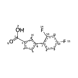 O=C(O)c1ccc(-c2ccc(F)cc2F)s1